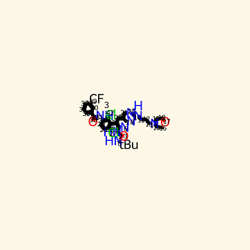 CC(C)(C)NC(=O)Nc1nc2nc(NCCCN3CCOCC3)ncc2cc1-c1c(Cl)ccc(NC(=O)c2cccc(C(F)(F)F)c2)c1Cl